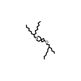 CCCCCCCC(CCCCCC)CN1CCC2(CC1)CC(OCCC(CCCC)CCCCCC)C2